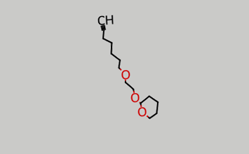 C#CCCCCCOCCOC1CCCCO1